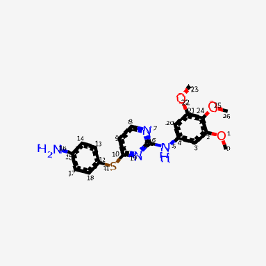 COc1cc(Nc2nccc(Sc3ccc(N)cc3)n2)cc(OC)c1OC